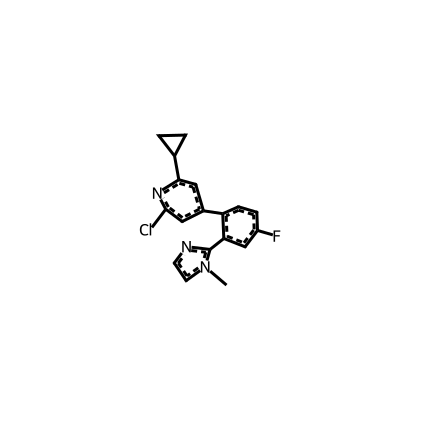 Cn1ccnc1-c1cc(F)ccc1-c1cc(Cl)nc(C2CC2)c1